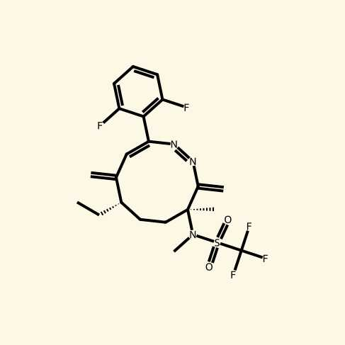 C=C1/C=C(c2c(F)cccc2F)\N=N/C(=C)[C@@](C)(N(C)S(=O)(=O)C(F)(F)F)CC[C@@H]1CC